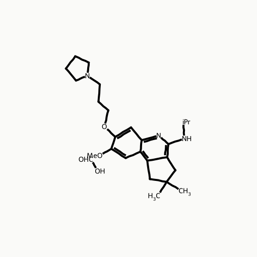 COc1cc2c3c(c(NC(C)C)nc2cc1OCCCN1CCCC1)CC(C)(C)C3.O=CO